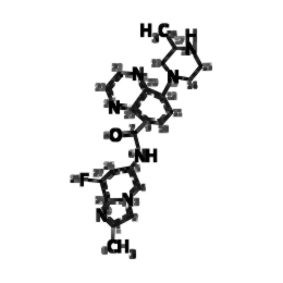 Cc1cn2cc(NC(=O)c3ccc(N4CCNC(C)C4)c4nccnc34)cc(F)c2n1